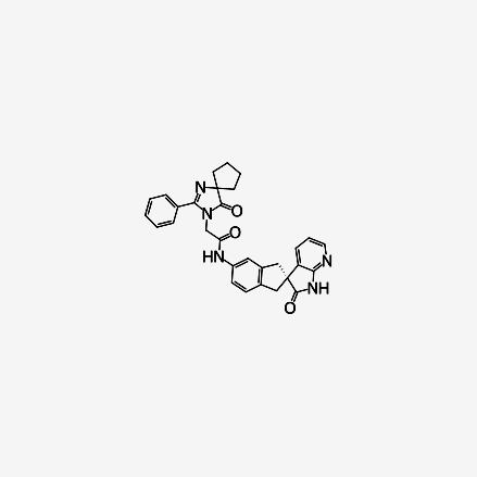 O=C(CN1C(=O)C2(CCCC2)N=C1c1ccccc1)Nc1ccc2c(c1)C[C@@]1(C2)C(=O)Nc2ncccc21